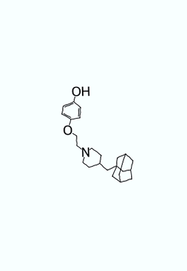 Oc1ccc(OCCN2CCC(CC34CC5CC(CC(C5)C3)C4)CC2)cc1